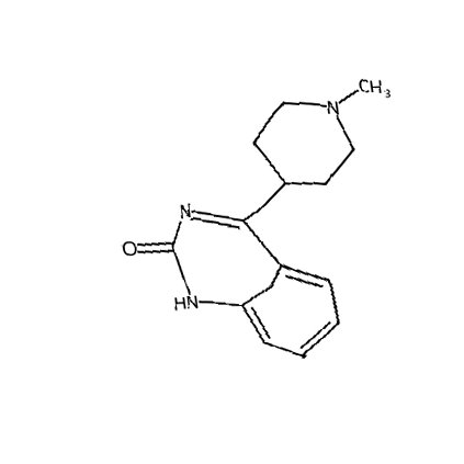 CN1CCC(c2nc(=O)[nH]c3ccccc23)CC1